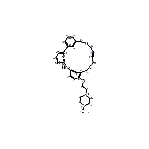 CN1CCN(CCOc2ccc3cc2COC/C=C/COCc2cccc(c2)-c2ccnc(n2)N3)CC1